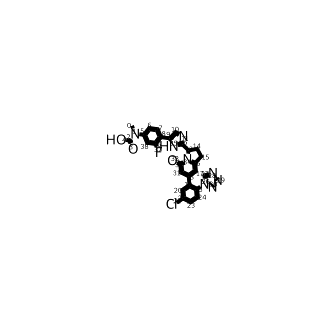 CN(C(=O)O)c1ccc(-c2cnc(C3CCc4cc(-c5cc(Cl)ccc5-n5cnnn5)cc(=O)n43)[nH]2)c(F)c1